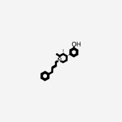 CC1[C@H](C)[C@H](c2cccc(O)c2)CCN1C/C=C/Cc1ccccc1